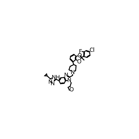 CC1(c2ccc(Cl)cc2F)Oc2cccc(C3CCN(Cc4nc5cc(-c6nnc(C7CC7)[nH]6)ccc5n4CC4CCO4)CC3)c2O1